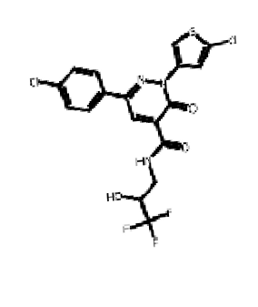 O=C(NCC(O)C(F)(F)F)c1cc(-c2ccc(Cl)cc2)nn(-c2csc(Cl)c2)c1=O